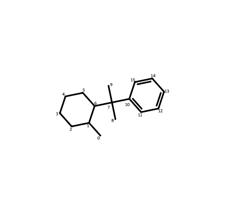 CC1CCCCC1C(C)(C)c1ccccc1